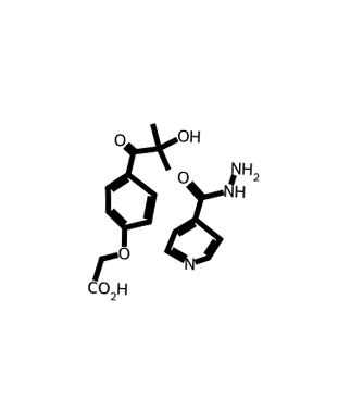 CC(C)(O)C(=O)c1ccc(OCC(=O)O)cc1.NNC(=O)c1ccncc1